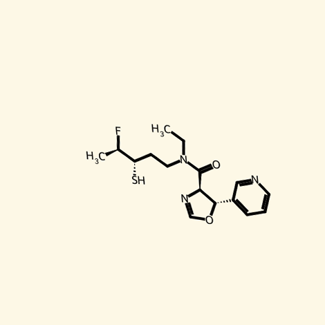 CCN(CC[C@H](S)[C@@H](C)F)C(=O)[C@@H]1N=CO[C@H]1c1cccnc1